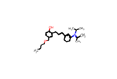 CCCCOCc1ccc(O)c(CCCc2cccc(N(C(C)C)C(C)C)c2)c1